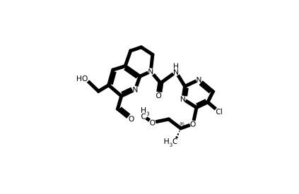 COC[C@@H](C)Oc1nc(NC(=O)N2CCCc3cc(CO)c(C=O)nc32)ncc1Cl